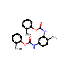 CCCCCCCCCc1ccccc1OC(=O)Nc1ccc(C)c(NC(=O)Oc2ccccc2CCCCCCCCC)c1